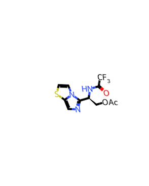 CC(=O)OC[C@H](NC(=O)C(F)(F)F)c1ncc2sccn12